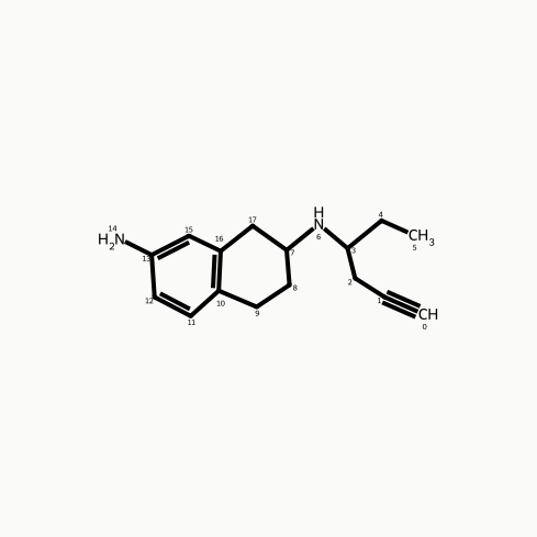 C#CCC(CC)NC1CCc2ccc(N)cc2C1